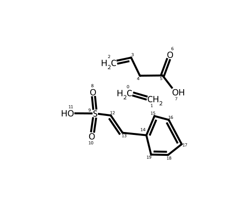 C=C.C=CCC(=O)O.O=S(=O)(O)C=Cc1ccccc1